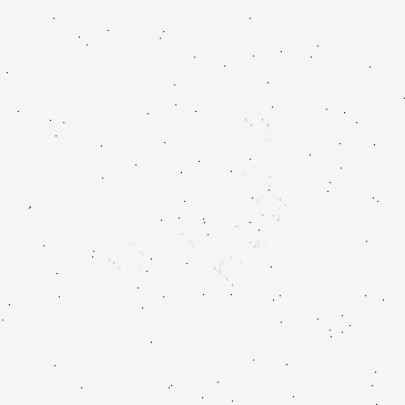 O=C(Nc1cnn(Cc2cccc(-c3ccncc3)c2)c1)c1n[nH]c2cc(-c3cn[nH]c3)ccc12